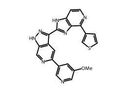 COc1cncc(-c2cc3c(-c4nc5c(-c6ccsc6)nccc5[nH]4)n[nH]c3cn2)c1